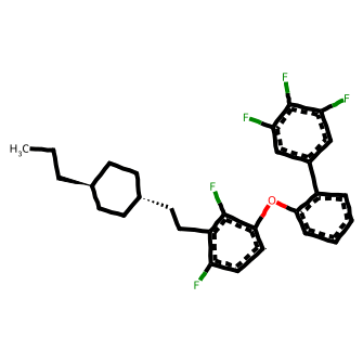 CCC[C@H]1CC[C@H](CCc2c(F)c[c]c(Oc3ccccc3-c3cc(F)c(F)c(F)c3)c2F)CC1